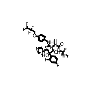 CCCC(F)OC(=O)NN(C(=S)Nc1ccc(OCC(F)(F)C(F)F)cc1)[C@H](C)[C@](O)(Cn1cncn1)c1ccc(F)cc1F